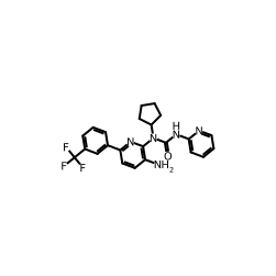 Nc1ccc(-c2cccc(C(F)(F)F)c2)nc1N(C(=O)Nc1ccccn1)C1CCCC1